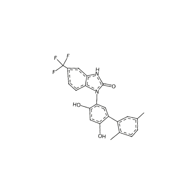 Cc1ccc(C)c(-c2cc(-n3c(=O)[nH]c4cc(C(F)(F)F)ccc43)c(O)cc2O)c1